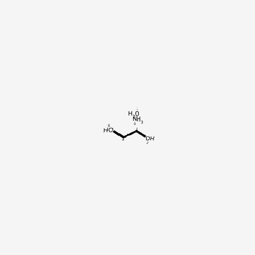 N.O.OCCO